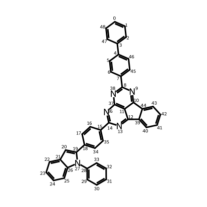 c1ccc(-c2ccc(-c3nc4c5c(nc(-c6ccc(-c7cc8ccccc8n7-c7ccccc7)cc6)nc5n3)-c3ccccc3-4)cc2)cc1